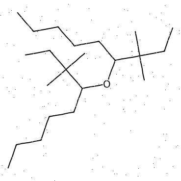 CCCCCC(OC(CCCCC)C(C)(C)CC)C(C)(C)CC